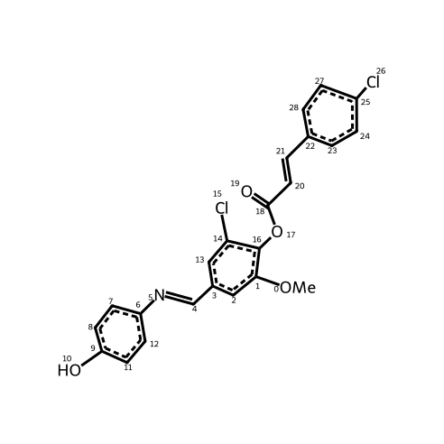 COc1cc(/C=N/c2ccc(O)cc2)cc(Cl)c1OC(=O)/C=C/c1ccc(Cl)cc1